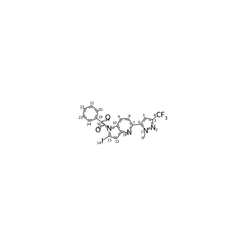 Cn1nc(C(F)(F)F)cc1-c1ccc2c(cc(I)n2S(=O)(=O)c2ccccc2)n1